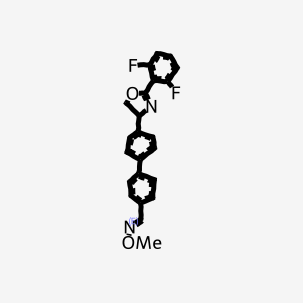 CO/N=C/c1ccc(-c2ccc(C3COC(c4c(F)cccc4F)=N3)cc2)cc1